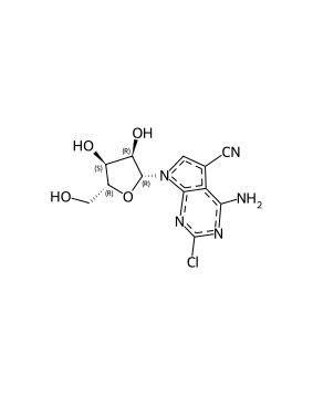 N#Cc1cn([C@@H]2O[C@H](CO)[C@@H](O)[C@H]2O)c2nc(Cl)nc(N)c12